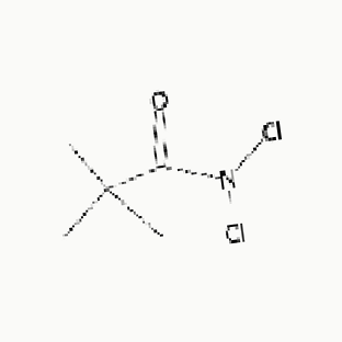 CC(C)(C)C(=O)N(Cl)Cl